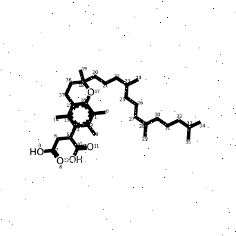 Cc1c(C)c(C(CC(=O)O)C(=O)O)c(C)c2c1OC(C)(CCCC(C)CCCC(C)CCCC(C)C)CC2